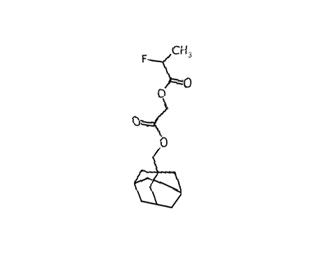 CC(F)C(=O)OCC(=O)OCC12CC3CC(CC(C3)C1)C2